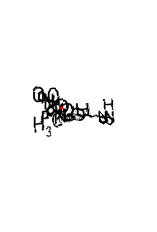 CN(C(C(=O)O)c1cc(F)cc2c1C1(CC1)C(=O)N2C1CCOCC1)[C@H]1CC[C@H](OCCCCc2ccc3c(n2)NCCC3)C1